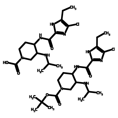 CCc1[nH]c(C(=O)NC2CCN(C(=O)O)CC2NC(C)C)nc1Cl.CCc1[nH]c(C(=O)NC2CCN(C(=O)OC(C)(C)C)CC2NC(C)C)nc1Cl